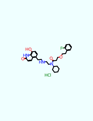 Cl.O=C(CCOCCc1ccccc1F)N(CCNCCc1ccc(O)c2[nH]c(=O)ccc12)C1CCCCC1